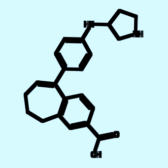 O=C(O)c1ccc2c(c1)CCCC=C2c1ccc(NC2CCNC2)cc1